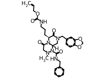 C=CCOC(=O)NCCC[C@H]1C(=O)N(Cc2ccc3c(c2)OCO3)C[C@H]2N1C(=O)CN(C)N2C(=O)NCc1ccccc1